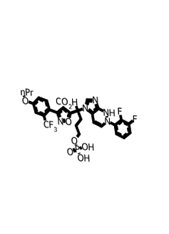 CCCOc1ccc(-c2cc(C(CCCOP(=O)(O)O)(C(=O)O)n3cnc4c3C=CN(c3cccc(F)c3F)N4)on2)c(C(F)(F)F)c1